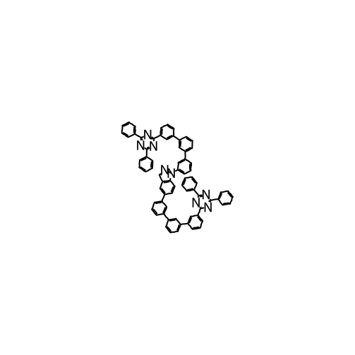 c1ccc(-c2nc(-c3ccccc3)nc(-c3cccc(-c4cccc(-c5cccc(-c6ccc7c(cnn7-c7cccc(-c8cccc(-c9cccc(-c%10nc(-c%11ccccc%11)nc(-c%11ccccc%11)n%10)c9)c8)c7)c6)c5)c4)c3)n2)cc1